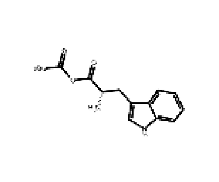 CCCCC(=O)OC(=O)[C@@H](N)Cc1c[nH]c2ccccc12